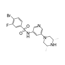 C[C@@H]1CN(c2cncc(NS(=O)(=O)c3ccc(Br)c(F)c3)c2)C[C@H](C)N1